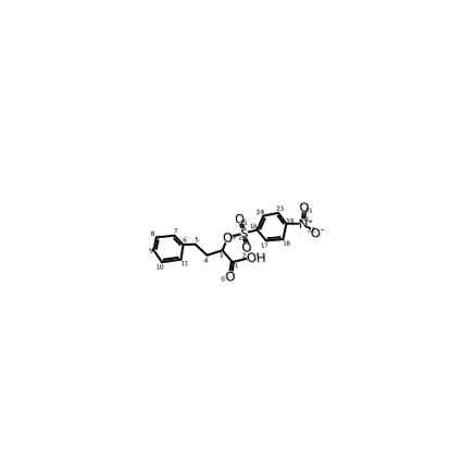 O=C(O)C(CCc1ccccc1)OS(=O)(=O)c1ccc([N+](=O)[O-])cc1